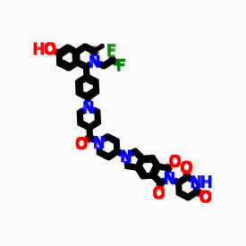 C[C@@H]1Cc2cc(O)ccc2C(c2ccc(N3CCC(C(=O)N4CCC(N5Cc6cc7c(cc6C5)C(=O)N(C5CCC(=O)NC5=O)C7=O)CC4)CC3)cc2)N1CC(F)F